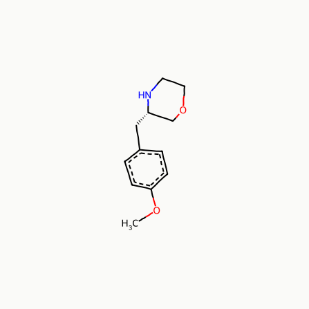 COc1ccc(C[C@H]2COCCN2)cc1